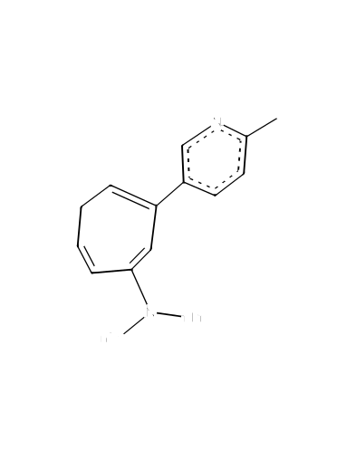 CCCN(CCC)C1=CC(c2ccc(C)nc2)=CCC=C1